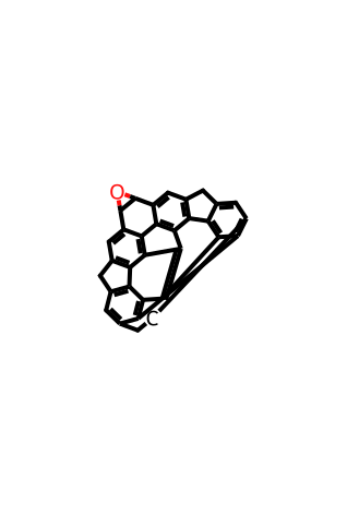 c1c2c3c4c(cc5c6c7c(cc8c9c%10c(cc%11c%12c(c1C%11)c3c(c46)c(c%12%10)c79)C1OC81)C5)CC2